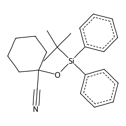 CC(C)(C)[Si](OC1(C#N)CCCCC1)(c1ccccc1)c1ccccc1